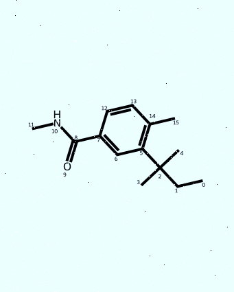 CCC(C)(C)c1cc(C(=O)NC)ccc1C